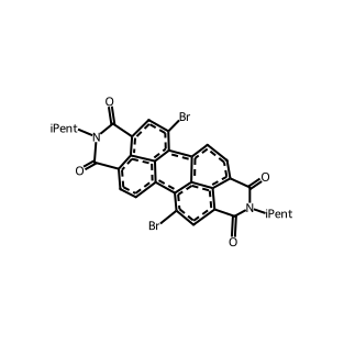 CCCC(C)N1C(=O)c2ccc3c4c(Br)cc5c6c(ccc(c7c(Br)cc(c2c37)C1=O)c64)C(=O)N(C(C)CCC)C5=O